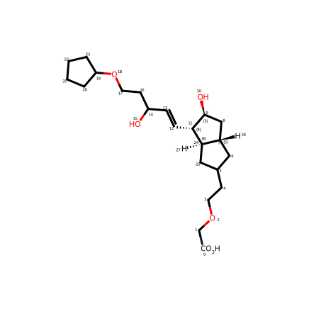 O=C(O)COCCC1C[C@H]2C[C@H](O)[C@@H](C=CC(O)CCOC3CCCC3)[C@@H]2C1